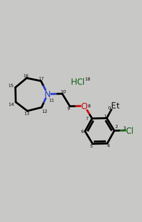 CCc1c(Cl)cccc1OCCN1CCCCCC1.Cl